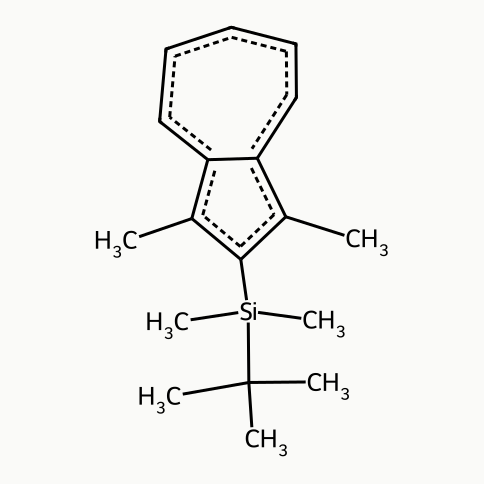 Cc1c2cccccc-2c(C)c1[Si](C)(C)C(C)(C)C